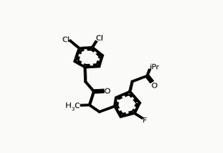 CC(C)C(=O)Cc1cc(F)cc(CC(C)C(=O)Cc2ccc(Cl)c(Cl)c2)c1